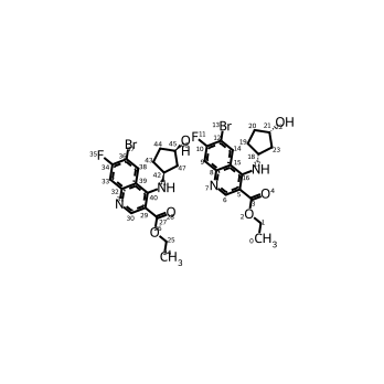 CCOC(=O)c1cnc2cc(F)c(Br)cc2c1N[C@@H]1CC[C@H](O)C1.CCOC(=O)c1cnc2cc(F)c(Br)cc2c1N[C@H]1CC[C@@H](O)C1